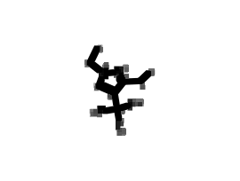 CCc1nn(CC)cc1C(F)(F)F